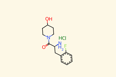 Cl.N[C@@H](Cc1ccccc1F)C(=O)N1CCC(O)CC1